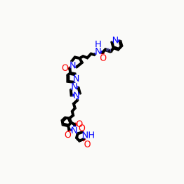 O=C(/C=C/c1cccnc1)NCCCCC1CCN(C(=O)c2ccc(N3CCN(CCCCCc4cccc5c4C(=O)N(C4CCC(=O)NC4=O)C5=O)CC3)nc2)CC1